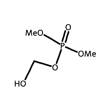 COP(=O)(OC)OCO